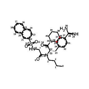 CCCCN(C(=O)CNS(=O)(=O)c1ccc2ccccc2c1)[C@@H](Cc1ccc(C(=N)N)cc1)C(=O)N1CCCCC1